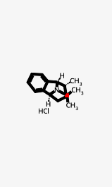 CC(C)N1[C@H]2CC[C@@H](C)[C@@H]1c1ccccc12.Cl